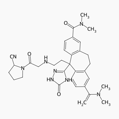 C=C(c1ccc2c(c1)CCc1cc(C(=O)N(C)C)ccc1C2(CCNCC(=O)N1CCCC1C#N)c1n[nH]c(=O)[nH]1)N(C)C